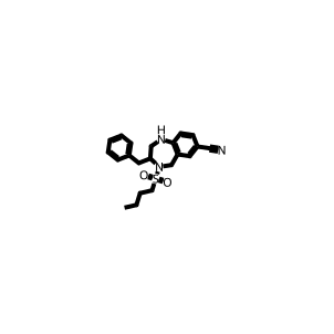 CCCCS(=O)(=O)N1Cc2cc(C#N)ccc2NCC1Cc1ccccc1